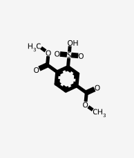 COC(=O)c1ccc(C(=O)OC)c(S(=O)(=O)O)c1